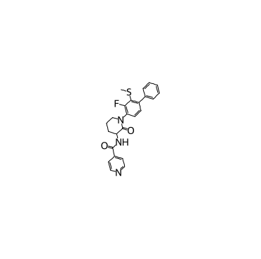 CSc1c(-c2ccccc2)ccc(N2CCCC(NC(=O)c3ccncc3)C2=O)c1F